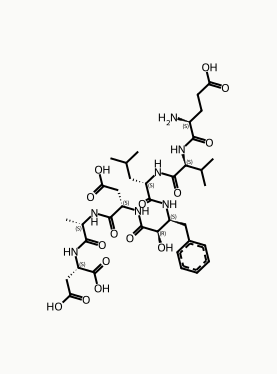 CC(C)C[C@H](NC(=O)[C@@H](NC(=O)[C@@H](N)CCC(=O)O)C(C)C)C(=O)N[C@@H](Cc1ccccc1)[C@@H](O)C(=O)N[C@@H](CC(=O)O)C(=O)N[C@@H](C)C(=O)N[C@@H](CC(=O)O)C(=O)O